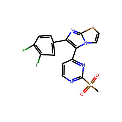 CS(=O)(=O)c1nccc(-c2c(-c3ccc(F)c(F)c3)nc3sccn23)n1